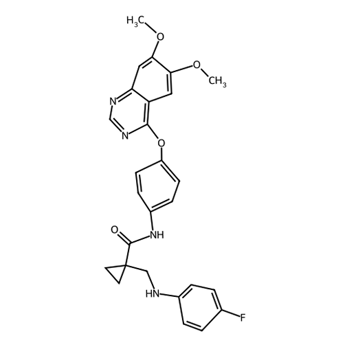 COc1cc2ncnc(Oc3ccc(NC(=O)C4(CNc5ccc(F)cc5)CC4)cc3)c2cc1OC